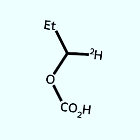 [2H]C(CC)OC(=O)O